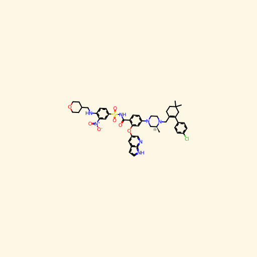 C[C@H]1CN(c2ccc(C(=O)NS(=O)(=O)c3ccc(NCC4CCOCC4)c([N+](=O)[O-])c3)c(Oc3cnc4[nH]ccc4c3)c2)CCN1CC1=C(c2ccc(Cl)cc2)CC(C)(C)CC1